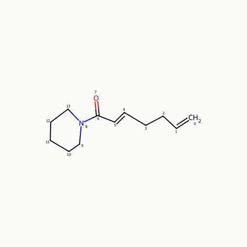 C=CCC/C=C/C(=O)N1CCCCC1